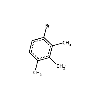 [CH2]c1c(C)ccc(Br)c1C